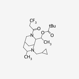 CC(OC(=O)C(C)(C)C)C1C2CC(CC(C)N2CC2CC2)CN1C(=O)CC(F)(F)F